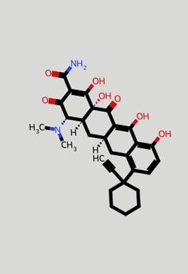 C#CC1(c2ccc(O)c3c2C[C@H]2C[C@H]4[C@H](N(C)C)C(=O)C(C(N)=O)=C(O)[C@@]4(O)C(=O)C2=C3O)CCCCC1